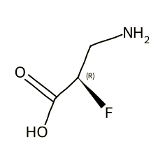 NC[C@@H](F)C(=O)O